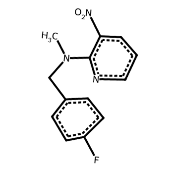 CN(Cc1ccc(F)cc1)c1ncccc1[N+](=O)[O-]